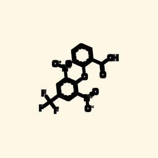 O=C(O)c1ccccc1Oc1c([N+](=O)[O-])cc(C(F)(F)F)cc1[N+](=O)[O-]